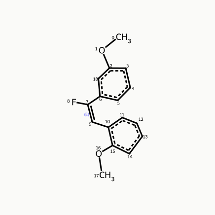 COc1cccc(/C(F)=C\c2ccccc2OC)c1